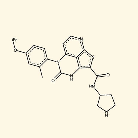 Cc1cc(OC(C)C)ccc1N1C(=O)Nc2c(C(=O)NC3CCNC3)sc3nccc1c23